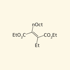 CCCCCCCCC(C(=O)OCC)=C(CC)C(=O)OCC